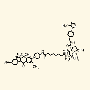 CCc1cc2c(cc1N1CCC(NC(=O)CCCCCCC(=O)N[C@H](C(=O)N3C[C@H](O)C[C@H]3C(=O)NCc3ccc(-c4scnc4C)cc3)C(C)(C)C)CC1)C(C)(C)c1[nH]c3cc(C#N)ccc3c1C2=O